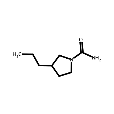 CCCC1CCN(C(N)=O)C1